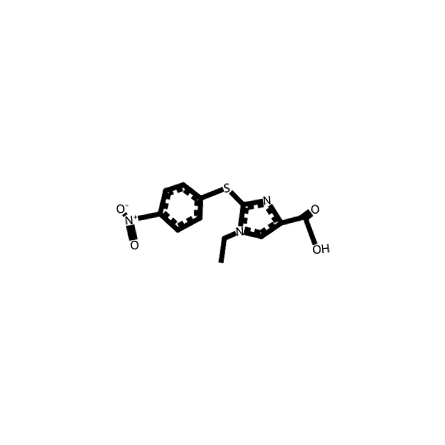 CCn1cc(C(=O)O)nc1Sc1ccc([N+](=O)[O-])cc1